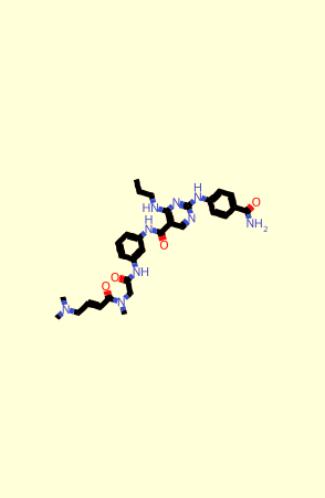 CCCNc1nc(Nc2ccc(C(N)=O)cc2)ncc1C(=O)Nc1cccc(NC(=O)CN(C)C(=O)/C=C/CN(C)C)c1